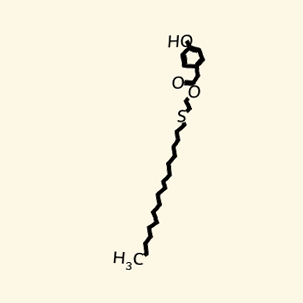 CCCCCCCCCCCCCCCCCCSCCOC(=O)Cc1ccc(O)cc1